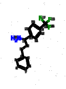 NC(CCc1ccccc1)c1ccc(C(F)(F)F)cc1